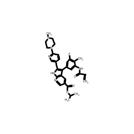 C=CC(=O)Nc1cc(-c2c(-c3ccc(N4CCN(C)CC4)nc3)[nH]c3ncc(C(=O)OC(C)C)cc23)cc(F)c1C